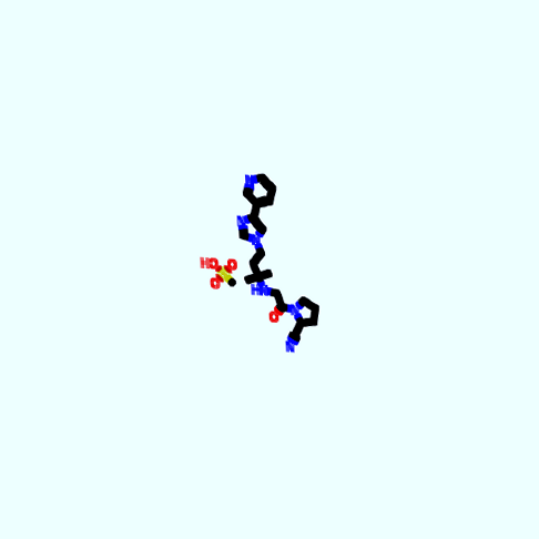 CC(C)(CCn1cnc(-c2cccnc2)c1)NCC(=O)N1CCCC1C#N.CS(=O)(=O)O